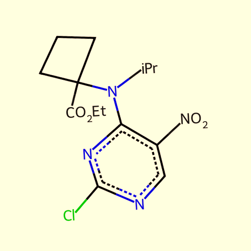 CCOC(=O)C1(N(c2nc(Cl)ncc2[N+](=O)[O-])C(C)C)CCC1